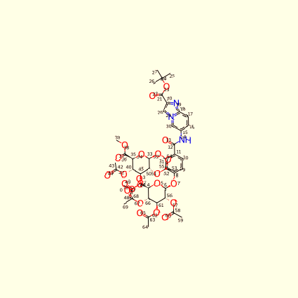 COC(=O)[C@H]1O[C@@H](Oc2ccc(C(=O)Nc3ccc4nc(C(=O)OC(C)(C)C)cn4c3)c(O[C@@H]3O[C@H](C(=O)OC)[C@@H](OC(C)=O)[C@H](OC(C)=O)[C@H]3OC(C)=O)c2)[C@H](OC(C)=O)[C@@H](OC(C)=O)[C@@H]1OC(C)=O